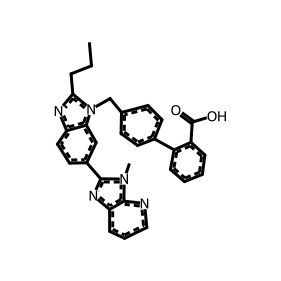 CCCc1nc2ccc(-c3nc4cccnc4n3C)cc2n1Cc1ccc(-c2ccccc2C(=O)O)cc1